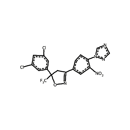 O=[N+]([O-])c1cc(C2=NOC(c3cc(Cl)cc(Cl)c3)(C(F)(F)F)C2)ccc1-n1cncn1